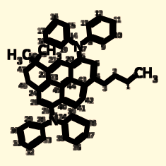 CCCCc1cc(N(c2ccccc2)c2ccccc2)c2cc3c4c(cc(N(c5ccccc5)c5ccccc5)c5ccc1c2c54)CCC3(C)C